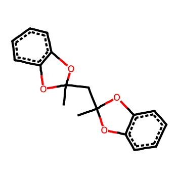 CC1(CC2(C)Oc3ccccc3O2)Oc2ccccc2O1